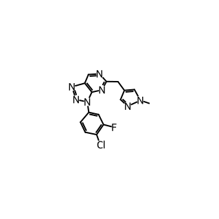 Cn1cc(Cc2ncc3nnn(-c4ccc(Cl)c(F)c4)c3n2)cn1